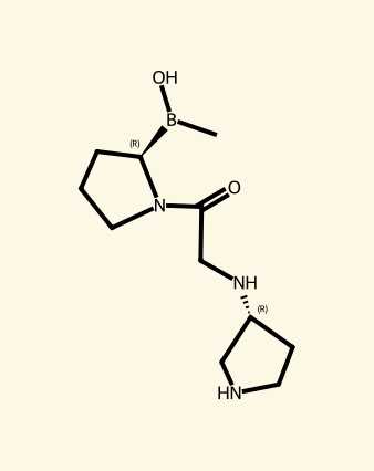 CB(O)[C@@H]1CCCN1C(=O)CN[C@@H]1CCNC1